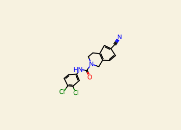 N#Cc1ccc2c(c1)CCN(C(=O)Nc1ccc(Cl)c(Cl)c1)C2